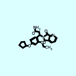 CCOc1cc(OC2CCCC2)ccc1C(CC(N)=O)N1C(=O)c2cccnc2C1=O